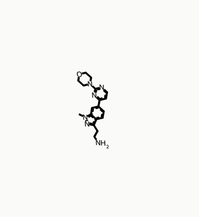 Cn1nc(CCN)c2ccc(-c3ccnc(N4CCOCC4)n3)cc21